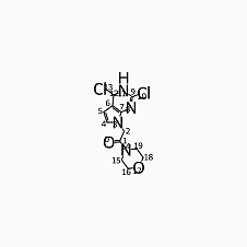 O=C(Cn1ccc2c1N=C(Cl)NC2Cl)N1CCOCC1